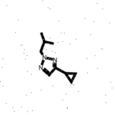 CC(C)Cn1ncc(C2CC2)n1